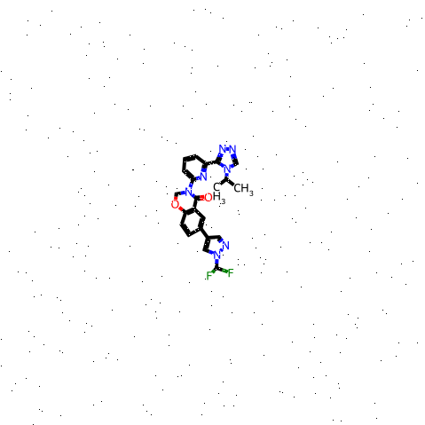 CC(C)n1cnnc1-c1cccc(N2COc3ccc(-c4cnn(C(F)F)c4)cc3C2=O)n1